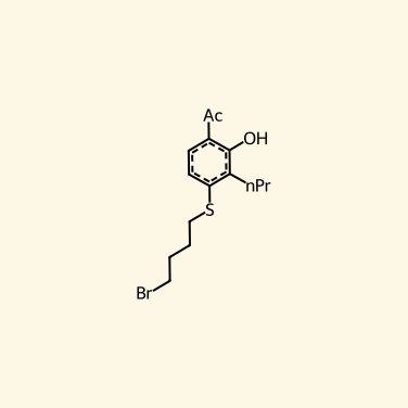 CCCc1c(SCCCCBr)ccc(C(C)=O)c1O